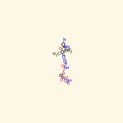 CCc1cc2c(cc1N1CCC(N3CCN(CC(=O)NCCCOc4cccc5c4CN(C4CCC(=O)NC4=O)C5=O)CC3)CC1)C(C)(C)c1[nH]c3cc(C#N)ccc3c1C2=O